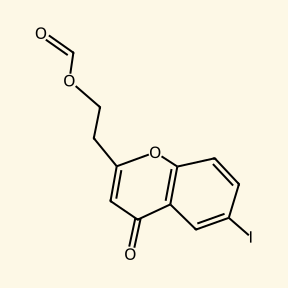 O=COCCc1cc(=O)c2cc(I)ccc2o1